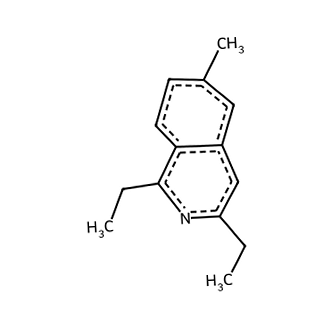 CCc1cc2cc(C)ccc2c(CC)n1